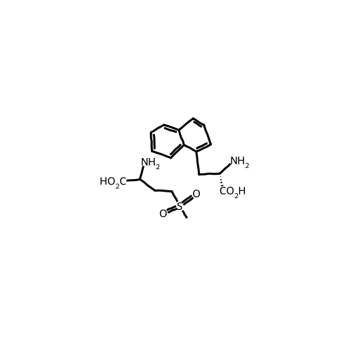 CS(=O)(=O)CCC(N)C(=O)O.N[C@@H](Cc1cccc2ccccc12)C(=O)O